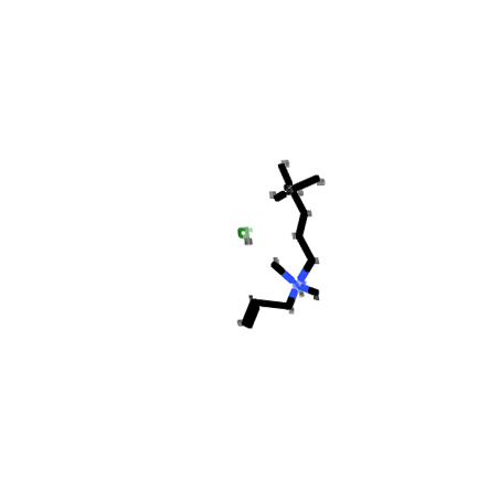 C=CC[N+](C)(C)CCC[Si](C)(C)C.[Cl-]